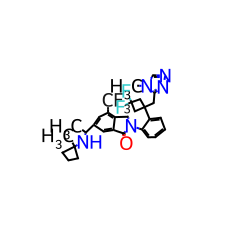 CC(NC1(C)CCC1)c1cc2c(c(C(F)(F)F)c1)CN(c1ccccc1C1(Cc3nncn3C)CC(F)(F)C1)C2=O